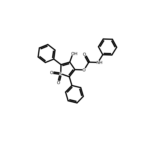 O=C(Nc1ccccc1)OC1=C(c2ccccc2)S(=O)(=O)C(c2ccccc2)=C1O